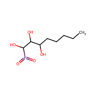 CCCCCC(O)C(O)C(O)P(=O)=O